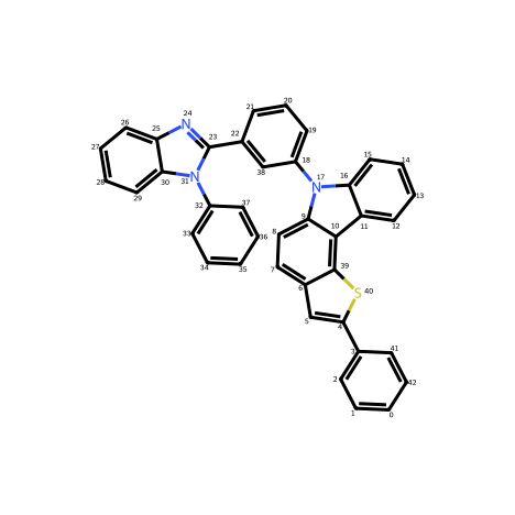 c1ccc(-c2cc3ccc4c(c5ccccc5n4-c4cccc(-c5nc6ccccc6n5-c5ccccc5)c4)c3s2)cc1